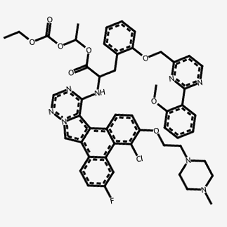 CCOC(=O)OC(C)OC(=O)C(Cc1ccccc1OCc1ccnc(-c2ccccc2OC)n1)Nc1ncnn2cc3c4ccc(F)cc4c4c(Cl)c(OCCN5CCN(C)CC5)ccc4c3c12